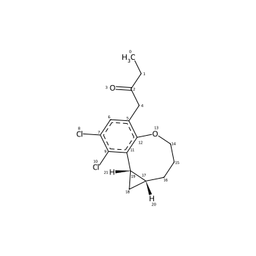 CCC(=O)Cc1cc(Cl)c(Cl)c2c1OCCC[C@@H]1C[C@H]21